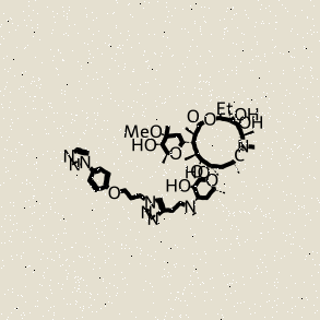 CC[C@H]1OC(=O)[C@H](C)[C@@H](C2C[C@@](C)(OC)[C@@H](O)[C@H](C)O2)[C@H](C)[C@@H](O[C@@H]2O[C@H](C)C[C@H](N(C)CCc3cn(CCCOc4ccc(-n5ccnn5)cc4)nn3)[C@H]2O)[C@](C)(O)C[C@@H](C)CN(C)[C@H](C)[C@@H](O)[C@]1(C)O